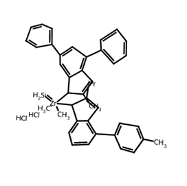 CC1=Cc2c(-c3ccccc3)cc(-c3ccccc3)cc2[CH]1[Zr]([CH3])([CH3])(=[SiH2])[CH]1C(C(C)C)=Cc2c(-c3ccc(C)cc3)cccc21.Cl.Cl